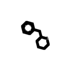 c1ccc(CC2CCCC[I]2)cc1